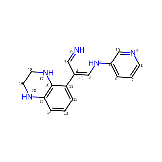 N=C/C(=C\Nc1cccnc1)c1cccc2c1NCCN2